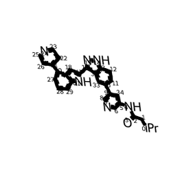 CC(C)CC(=O)Nc1cncc(-c2ccc3[nH]nc(-c4cc5c(-c6ccncc6)cccc5[nH]4)c3c2)c1